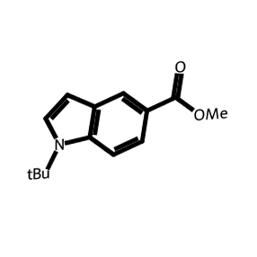 COC(=O)c1ccc2c(ccn2C(C)(C)C)c1